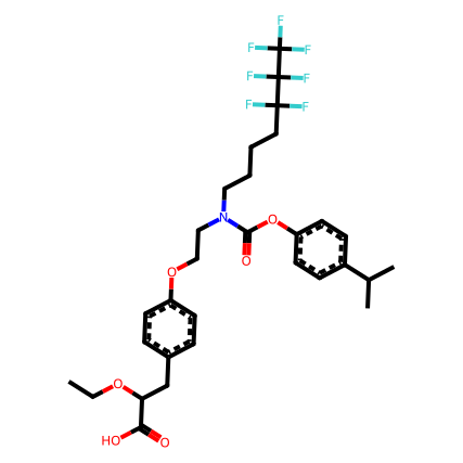 CCOC(Cc1ccc(OCCN(CCCCC(F)(F)C(F)(F)C(F)(F)F)C(=O)Oc2ccc(C(C)C)cc2)cc1)C(=O)O